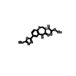 CC(C)(C)OC(=O)N[C@H]1CSc2ccc(-c3nnc(C(C)(C)C)o3)cc2NC1=O